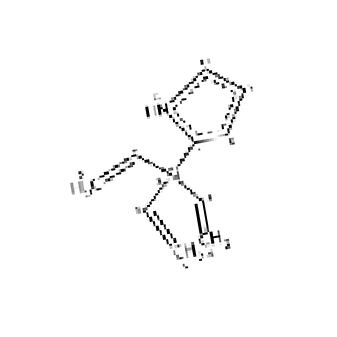 C=C[Si](C=C)(C=C)c1ccc[nH]1